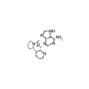 CN1CCCC1c1cccnc1.Nc1ncnc2nc[nH]c12